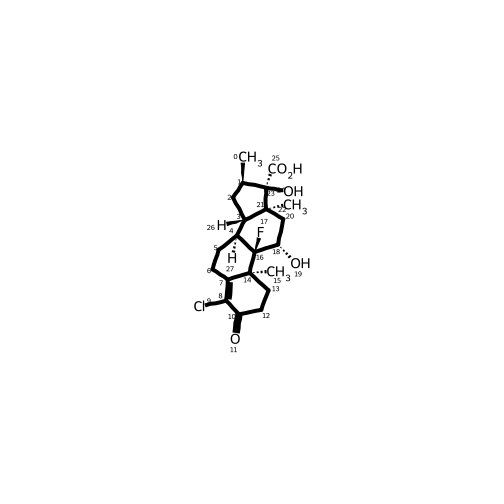 C[C@@H]1C[C@H]2[C@@H]3CCC4=C(Cl)C(=O)CC[C@]4(C)[C@@]3(F)[C@@H](O)C[C@]2(C)[C@@]1(O)C(=O)O